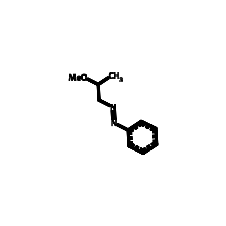 COC(C)CN=Nc1ccccc1